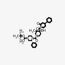 CC(C)(C)OC(=O)N1CCN(C(=O)N2CC[C@@](O)(Cn3ccc(-c4ccccc4)cc3=O)C(C)(C)C2)[C@H](c2ccccc2)C1